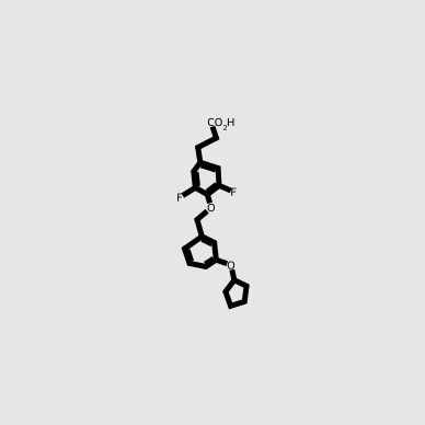 O=C(O)CCc1cc(F)c(OCc2cccc(OC3CCCC3)c2)c(F)c1